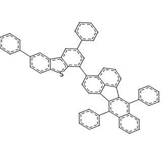 c1ccc(-c2ccc3sc4c(-c5ccc6c7c(cccc57)-c5c-6c(-c6ccccc6)c6ccccc6c5-c5ccccc5)cc(-c5ccccc5)cc4c3c2)cc1